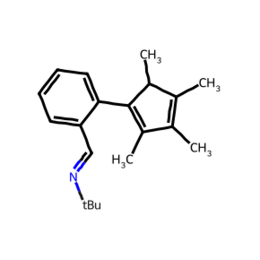 CC1=C(C)C(C)C(c2ccccc2C=NC(C)(C)C)=C1C